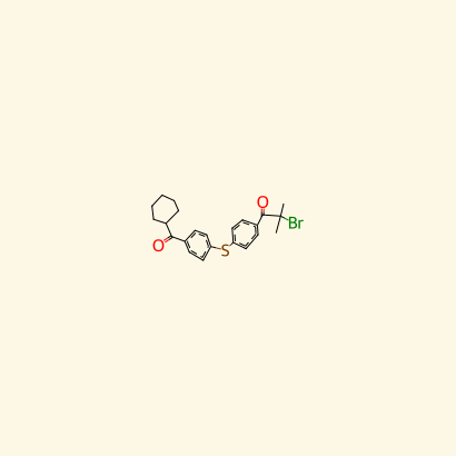 CC(C)(Br)C(=O)c1ccc(Sc2ccc(C(=O)C3CCCCC3)cc2)cc1